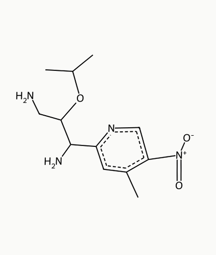 Cc1cc(C(N)C(CN)OC(C)C)ncc1[N+](=O)[O-]